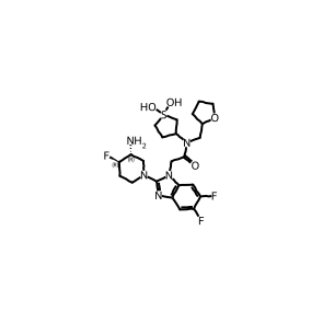 N[C@@H]1CN(c2nc3cc(F)c(F)cc3n2CC(=O)N(CC2CCCO2)C2CCS(O)(O)C2)CC[C@H]1F